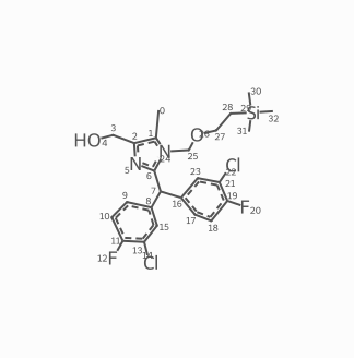 Cc1c(CO)nc(C(c2ccc(F)c(Cl)c2)c2ccc(F)c(Cl)c2)n1COCC[Si](C)(C)C